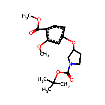 COC(=O)c1ccc(OC2CCN(C(=O)OC(C)(C)C)C2)cc1OC